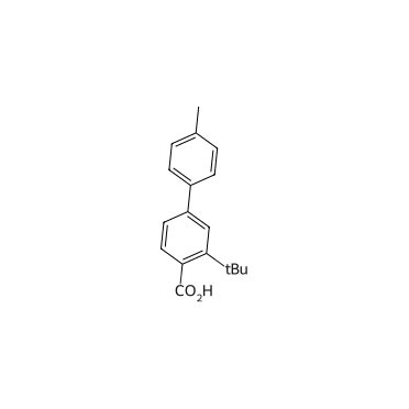 Cc1ccc(-c2ccc(C(=O)O)c(C(C)(C)C)c2)cc1